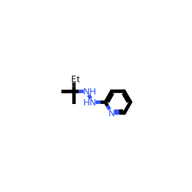 CCC(C)(C)NNc1ccccn1